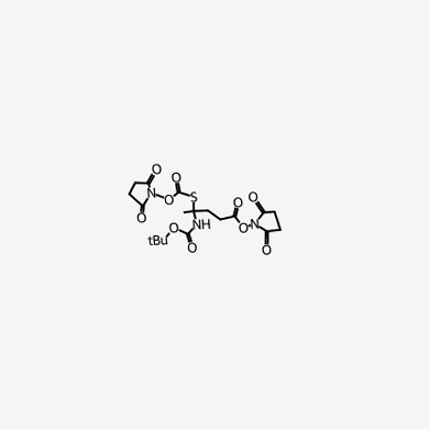 CC(C)(C)OC(=O)NC(C)(CCC(=O)ON1C(=O)CCC1=O)SC(=O)ON1C(=O)CCC1=O